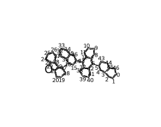 c1ccc2cc(-c3c4ccccc4c(-c4cc(-c5cccc6oc7ccccc7c56)c5ccccc5c4)c4ccccc34)ccc2c1